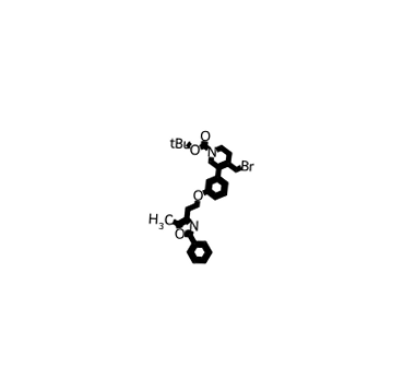 Cc1oc(-c2ccccc2)nc1CCOc1cccc(C2=C(CBr)CCN(C(=O)OC(C)(C)C)C2)c1